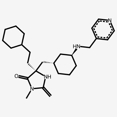 C=C1N[C@](CCC2CCCCC2)(C[C@H]2CCC[C@H](NCc3ccncc3)C2)C(=O)N1C